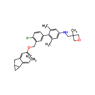 C=C(/C=C1/CC2CC2/C1=C/C)OCc1cc(-c2c(C)cc(NCC3(C)COC3)cc2C)ccc1F